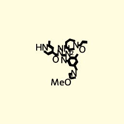 C=CC(=O)N1CCCC[C@@H](n2c(N(N)C(=O)C3=CCNC(C)=C3)nc3cc(CN4CC(OC)C4)cc(C)c32)C1